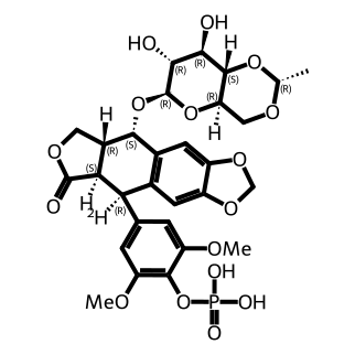 [2H][C@@]1(c2cc(OC)c(OP(=O)(O)O)c(OC)c2)c2cc3c(cc2[C@@H](O[C@@H]2O[C@@H]4CO[C@@H](C)O[C@H]4[C@H](O)[C@H]2O)[C@H]2COC(=O)[C@@H]21)OCO3